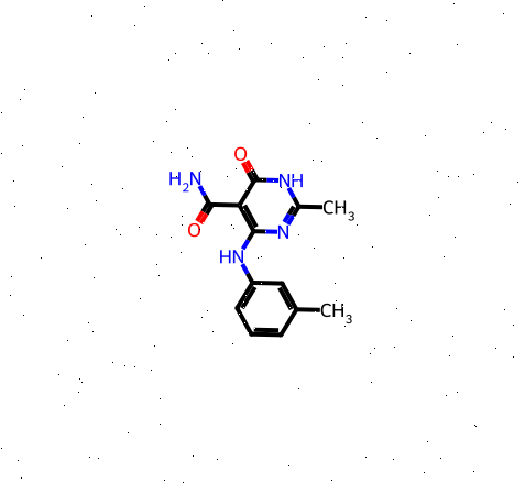 Cc1cccc(Nc2nc(C)[nH]c(=O)c2C(N)=O)c1